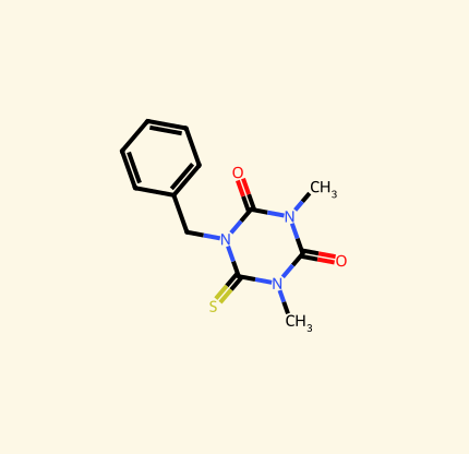 Cn1c(=O)n(C)c(=S)n(Cc2ccccc2)c1=O